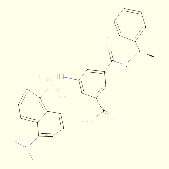 C[C@@H](NC(=O)c1cc(NS(=O)(=O)c2cccc3c(N(C)C)cccc23)cc(C(=O)O)c1)c1ccccc1